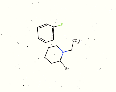 CCC1CCCCN1CC(=O)O.Fc1ccccc1